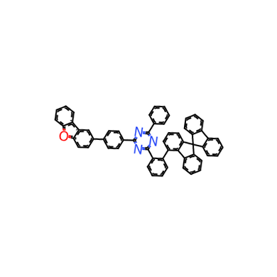 c1ccc(-c2nc(-c3ccc(-c4ccc5oc6ccccc6c5c4)cc3)nc(-c3ccccc3-c3cccc4c3-c3ccccc3C43c4ccccc4-c4ccccc43)n2)cc1